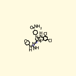 CN/C(=N\C=C1/CN([C@H]2CC[C@@H](C(N)=O)CC2)C(Nc2c(F)cc(Cl)cc2Cl)=N1)NC1CCOCC1